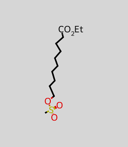 CCOC(=O)CCCCCCCCCOS(C)(=O)=O